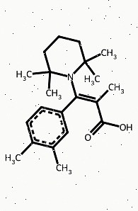 CC(C(=O)O)=C(c1ccc(C)c(C)c1)N1C(C)(C)CCCC1(C)C